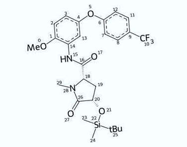 COc1ccc(Oc2ccc(C(F)(F)F)cc2)cc1NC(=O)[C@@H]1C[C@H](O[Si](C)(C)C(C)(C)C)C(=O)N1C